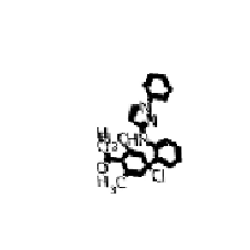 CC1=CC(Cl)(c2ccccc2Nc2ccn(-c3ccccc3)n2)C=C(C)C1C(=O)O